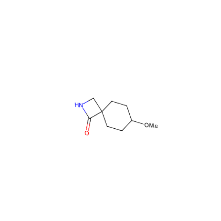 COC1CCC2(CC1)CNC2=O